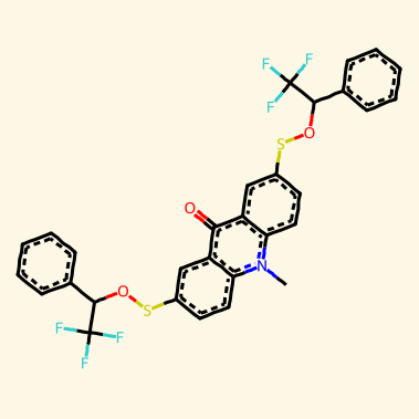 Cn1c2ccc(SOC(c3ccccc3)C(F)(F)F)cc2c(=O)c2cc(SOC(c3ccccc3)C(F)(F)F)ccc21